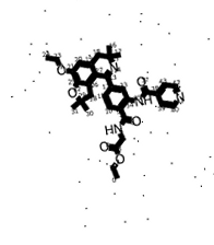 CCOC(=O)CNC(=O)c1ccc(C2=NC(C)(C)Cc3cc(OCC)c4c(c32)CC(C)(C)O4)cc1NC(=O)c1ccncc1